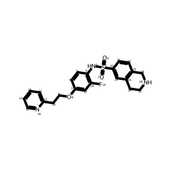 O=S(=O)(Nc1ccc(OCCc2ccccn2)cc1F)c1ccc2c(c1)CCNC2